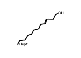 CCCCCCCCCCCCCCC=CCCO